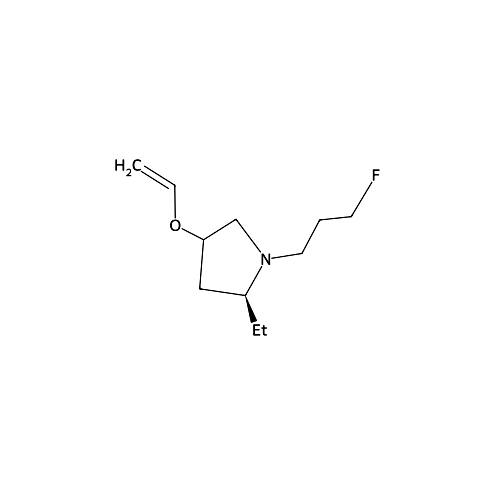 C=COC1C[C@H](CC)N(CCCF)C1